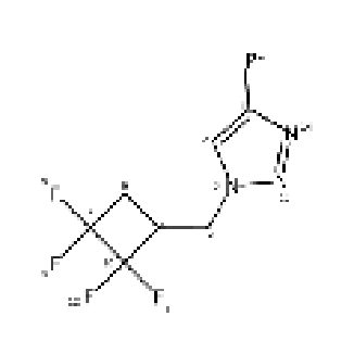 CC(C)c1cn(CC2CC(F)(F)C2(F)F)nn1